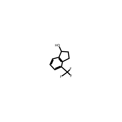 OC1CCc2c1cccc2C(F)(F)F